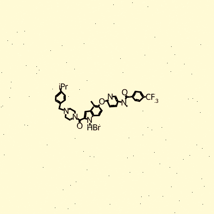 Br.Cc1c(Oc2ccc(N(C)C(=O)c3ccc(C(F)(F)F)cc3)cn2)ccc2c1cc(C(=O)N1CCN(Cc3ccc(C(C)C)cc3)CC1)n2C